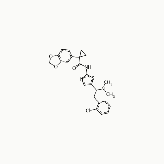 CN(C)C(Cc1ccccc1Cl)c1cnc(NC(=O)C2(c3ccc4c(c3)OCO4)CC2)s1